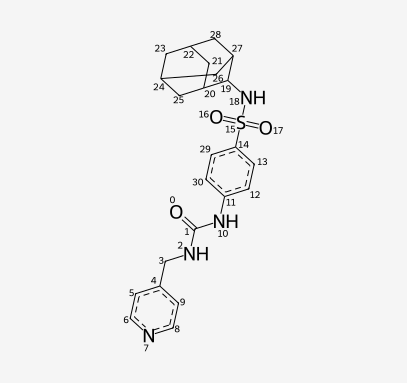 O=C(NCc1ccncc1)Nc1ccc(S(=O)(=O)NC2C3CC4CC(C3)CC2C4)cc1